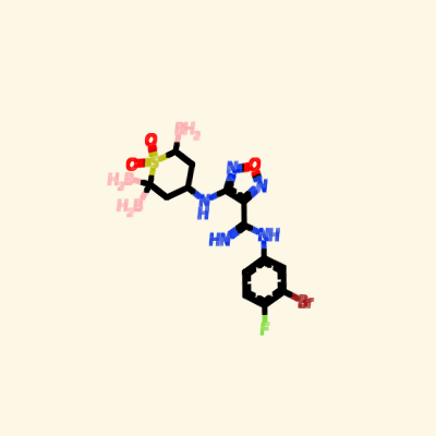 BC1CC(Nc2nonc2C(=N)Nc2ccc(F)c(Br)c2)CC(B)(B)S1(=O)=O